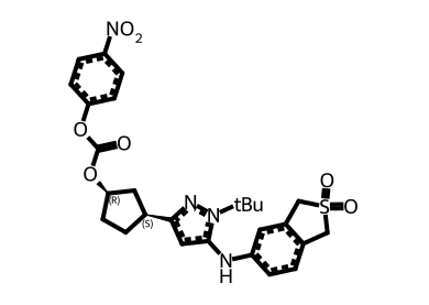 CC(C)(C)n1nc([C@H]2CC[C@@H](OC(=O)Oc3ccc([N+](=O)[O-])cc3)C2)cc1Nc1ccc2c(c1)CS(=O)(=O)C2